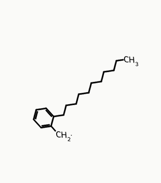 [CH2]c1ccccc1CCCCCCCCCCC